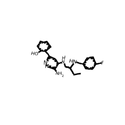 CCC(CNc1cc(-c2ccccc2O)nnc1N)Nc1ccc(F)cc1